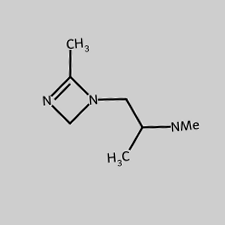 CNC(C)CN1CN=C1C